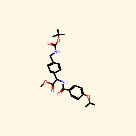 COC(=O)C(NC(=O)c1ccc(OC(C)C)cc1)c1ccc(CNC(=O)OC(C)(C)C)cc1